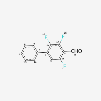 O=Cc1c(F)cc(-c2ccccc2)c(F)c1F